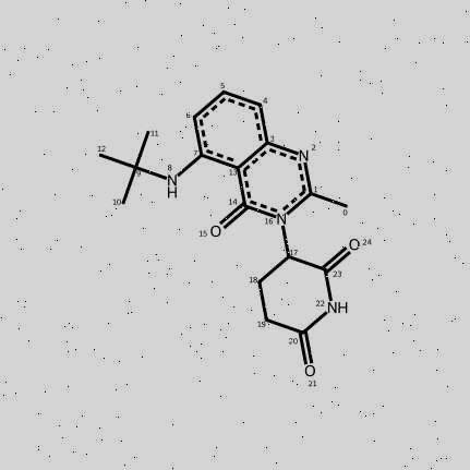 Cc1nc2cccc(NC(C)(C)C)c2c(=O)n1C1CCC(=O)NC1=O